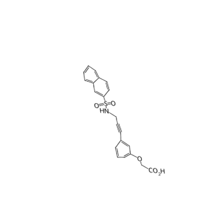 O=C(O)COc1cccc(C#CCNS(=O)(=O)c2ccc3ccccc3c2)c1